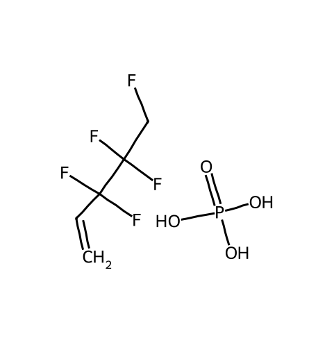 C=CC(F)(F)C(F)(F)CF.O=P(O)(O)O